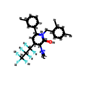 [C-]#[N+]c1c(C(F)(F)C(F)(F)C(F)(F)F)cc(-c2cccc(C)c2)n(Cc2ccc(C)cc2C)c1=O